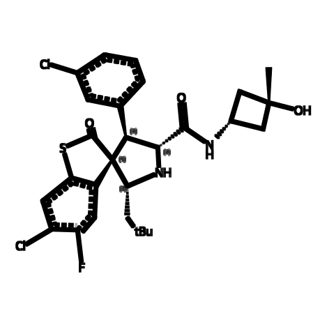 CC(C)(C)C[C@H]1N[C@@H](C(=O)N[C@H]2C[C@@](C)(O)C2)[C@H](c2cccc(Cl)c2)[C@@]12C(=O)Sc1cc(Cl)c(F)cc12